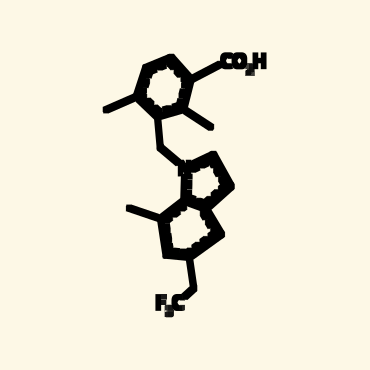 Cc1ccc(C(=O)O)c(C)c1Cn1ccc2cc(CC(F)(F)F)cc(C)c21